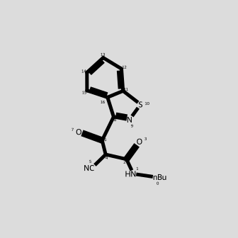 CCCCNC(=O)C(C#N)C(=O)c1nsc2ccccc12